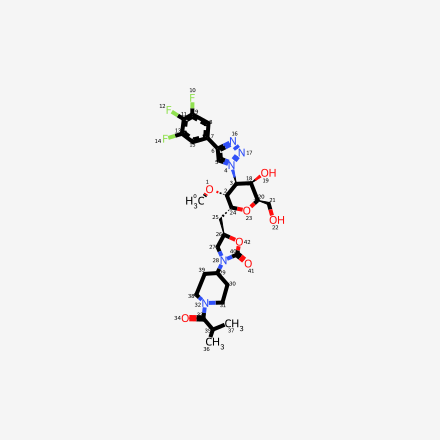 CO[C@@H]1[C@@H](n2cc(-c3cc(F)c(F)c(F)c3)nn2)[C@@H](O)[C@@H](CO)O[C@@H]1C[C@@H]1CN(C2CCN(C(=O)C(C)C)CC2)C(=O)O1